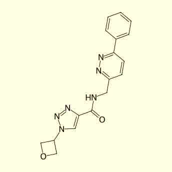 O=C(NCc1ccc(-c2ccccc2)nn1)c1cn(C2COC2)nn1